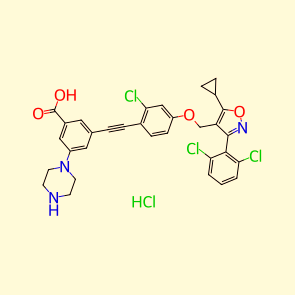 Cl.O=C(O)c1cc(C#Cc2ccc(OCc3c(-c4c(Cl)cccc4Cl)noc3C3CC3)cc2Cl)cc(N2CCNCC2)c1